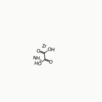 N.O=C(O)C(=O)O.[Zr]